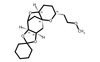 COCC[C@H]1CC[C@@H]2OC3C[C@]2(C[C@H]2OC4(CCCCC4)O[C@@H]32)O1